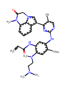 C=CC(=O)Nc1cc(Nc2ncc(C#N)c(-c3cn4c5c(cccc35)N(C)C(=O)C4)n2)c(OC)cc1N(C)CCN(C)C